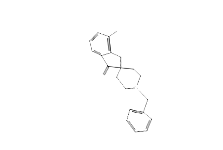 Cc1cccc2c1CC1(CCN(Cc3ccccc3)CC1)C2=O